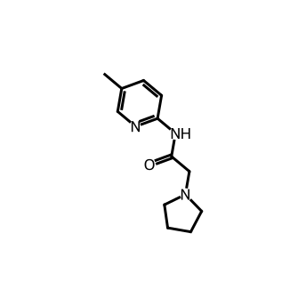 Cc1ccc(NC(=O)CN2CCCC2)nc1